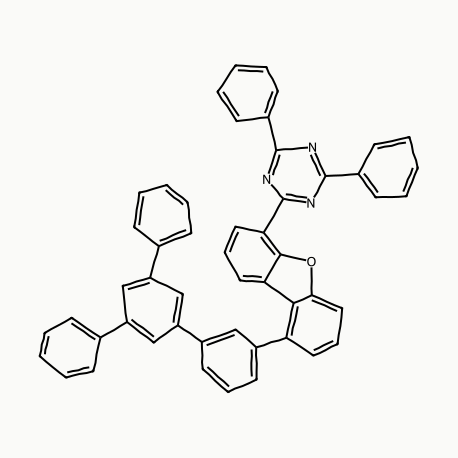 c1ccc(-c2cc(-c3ccccc3)cc(-c3cccc(-c4cccc5oc6c(-c7nc(-c8ccccc8)nc(-c8ccccc8)n7)cccc6c45)c3)c2)cc1